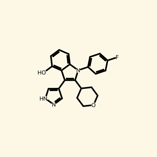 Oc1cccc2c1c(-c1cn[nH]c1)c(C1CCOCC1)n2-c1ccc(F)cc1